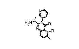 Cc1ccc2nc([C@H](C)N)n(-c3cccnc3)c(=O)c2c1Cl